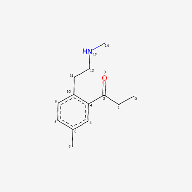 CCC(=O)c1cc(C)ccc1CCNC